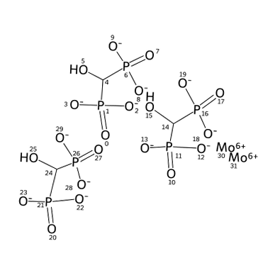 O=P([O-])([O-])C(O)P(=O)([O-])[O-].O=P([O-])([O-])C(O)P(=O)([O-])[O-].O=P([O-])([O-])C(O)P(=O)([O-])[O-].[Mo+6].[Mo+6]